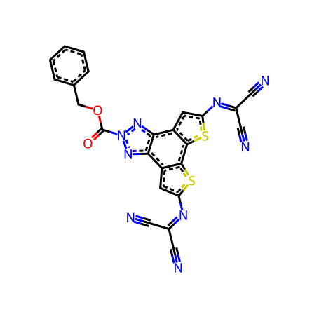 N#CC(C#N)=Nc1cc2c3nn(C(=O)OCc4ccccc4)nc3c3cc(N=C(C#N)C#N)sc3c2s1